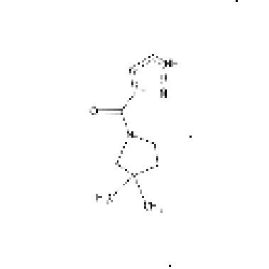 CC1(C)CCN(C(=O)c2cc[nH]n2)C1